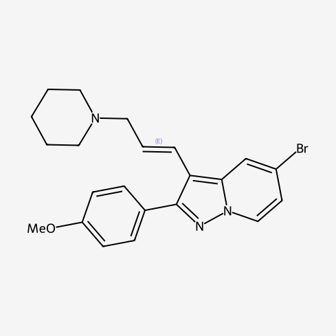 COc1ccc(-c2nn3ccc(Br)cc3c2/C=C/CN2CCCCC2)cc1